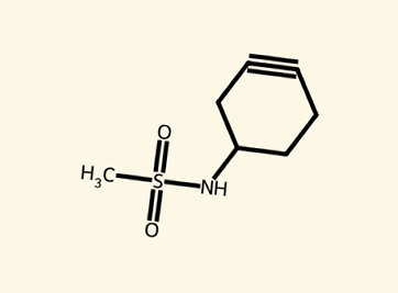 CS(=O)(=O)NC1CC#CCC1